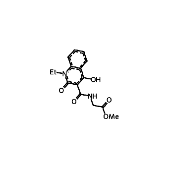 CCn1c(=O)c(C(=O)NCC(=O)OC)c(O)c2ccccc21